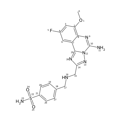 COc1cc(F)cc2c1nc(N)n1nc(CNCc3ccc(S(N)(=O)=O)cc3)nc21